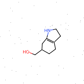 OCC1CCC2=C(C1)NCC2